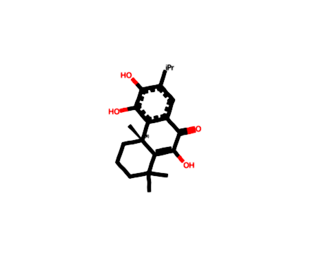 CC(C)c1cc2c(c(O)c1O)[C@@]1(C)CCCC(C)(C)C1=C(O)C2=O